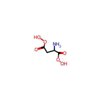 NC(CC(=O)OO)C(=O)OO